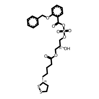 O=C(CCCC[C@@H]1CCSS1)OC[C@@H](O)COS(=O)(=O)OC(=O)c1ccccc1OCc1ccccc1